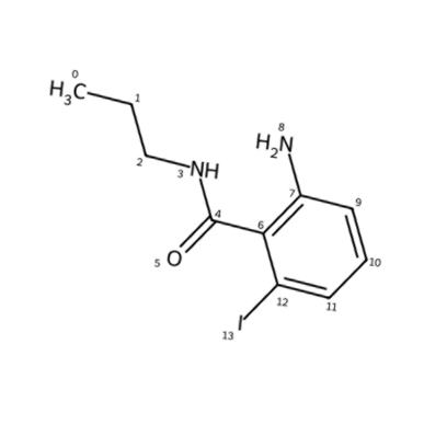 CCCNC(=O)c1c(N)cccc1I